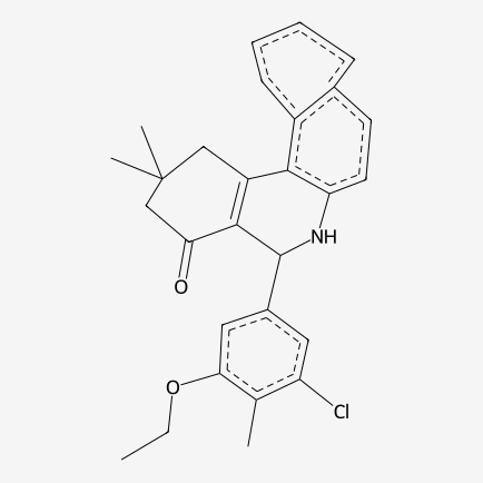 CCOc1cc(C2Nc3ccc4ccccc4c3C3=C2C(=O)CC(C)(C)C3)cc(Cl)c1C